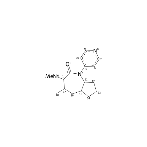 CNC1C(=O)N(c2ccncc2)C2CCCC2CC1C